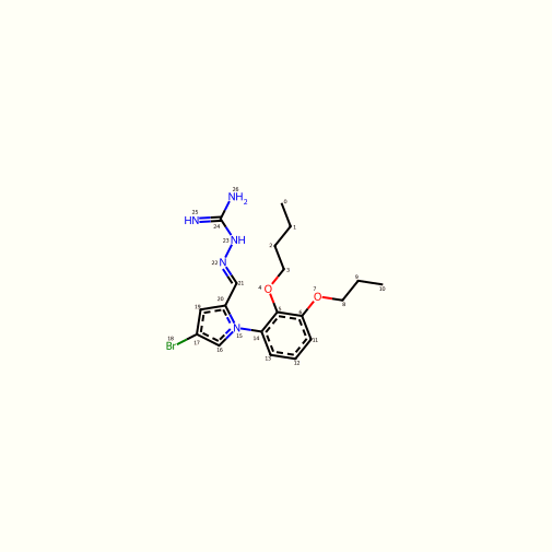 CCCCOc1c(OCCC)cccc1-n1cc(Br)cc1/C=N/NC(=N)N